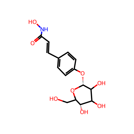 O=C(/C=C/c1ccc(O[C@H]2OC(CO)[C@@H](O)C(O)C2O)cc1)NO